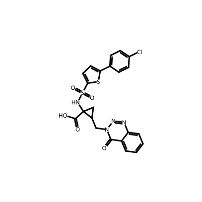 O=C(O)C1(NS(=O)(=O)c2ccc(-c3ccc(Cl)cc3)s2)CC1Cn1nnc2ccccc2c1=O